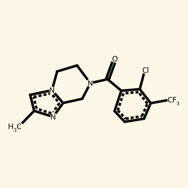 Cc1cn2c(n1)CN(C(=O)c1cccc(C(F)(F)F)c1Cl)CC2